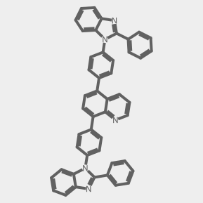 c1ccc(-c2nc3ccccc3n2-c2ccc(-c3ccc(-c4ccc(-n5c(-c6ccccc6)nc6ccccc65)cc4)c4ncccc34)cc2)cc1